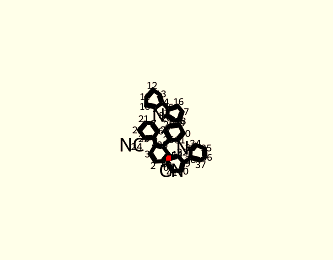 N#Cc1ccc(-c2cc(-n3c4ccccc4c4ccccc43)ccc2C#N)c(-c2ccccc2-n2c3ccccc3c3ccccc32)c1